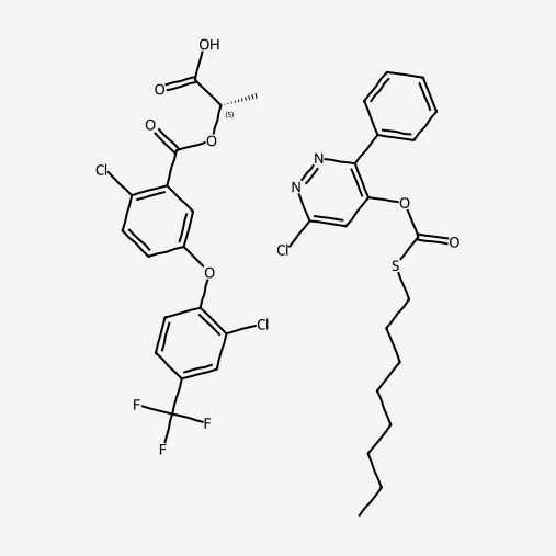 CCCCCCCCSC(=O)Oc1cc(Cl)nnc1-c1ccccc1.C[C@H](OC(=O)c1cc(Oc2ccc(C(F)(F)F)cc2Cl)ccc1Cl)C(=O)O